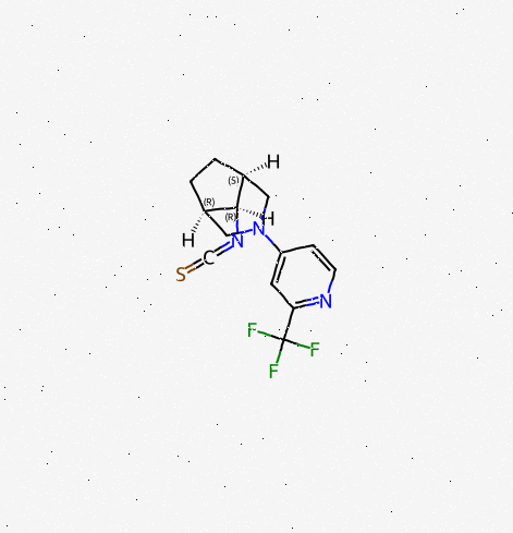 FC(F)(F)c1cc(N2C[C@H]3CC[C@@H](C2)[C@H]3N=C=S)ccn1